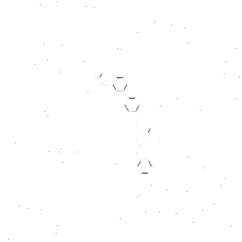 CC(=O)Nc1cccc(-c2ccc(CCC(CCCc3ccccc3)C(=O)O)cc2)c1